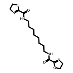 O=C(NCCCCCCCCNC(=O)C1=NCCO1)C1=NCCO1